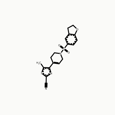 Cc1sc(C#N)nc1C1=CCN(S(=O)(=O)c2ccc3c(c2)CCO3)CC1